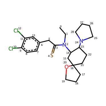 CCN(C(=S)Cc1ccc(Cl)c(Cl)c1)C1CC2(CCCO2)CCC1N1CCCC1